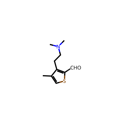 Cc1csc(C=O)c1CCN(C)C